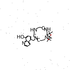 CC(C)(C)N1CCCN(Cc2ccc(O)c3ncccc23)CCNCCCNCC1(C(C)(C)C)C(C)(C)C